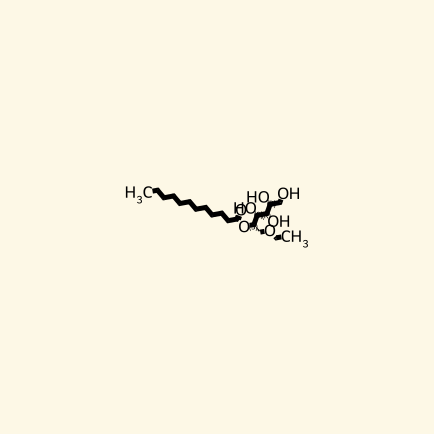 CCCCCCCCCCCC(=O)O[C@@H](COCC)[C@@H](O)[C@H](O)[C@H](O)CO